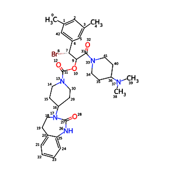 Cc1cc(C)cc([C@@H](Br)C(OC(=O)N2CCC(N3CCc4ccccc4NC3=O)CC2)C(=O)N2CCC(N(C)C)CC2)c1